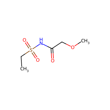 CCS(=O)(=O)NC(=O)COC